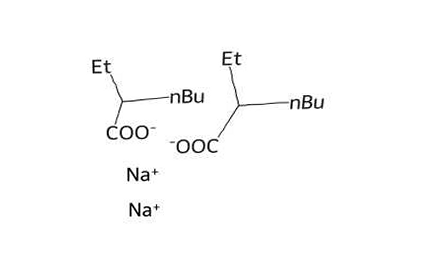 CCCCC(CC)C(=O)[O-].CCCCC(CC)C(=O)[O-].[Na+].[Na+]